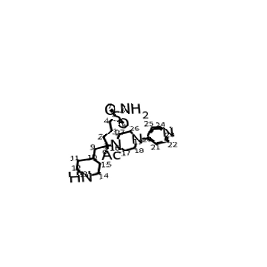 CC(=O)C(CCCS(N)(=O)=O)(CC1CCNCC1)N1CCN(c2ccncc2)CC1